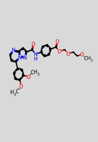 COCCOCOC(=O)c1ccc(NC(=O)c2cc3nccc(-c4ccc(OC)c(OC)c4)n3n2)cc1